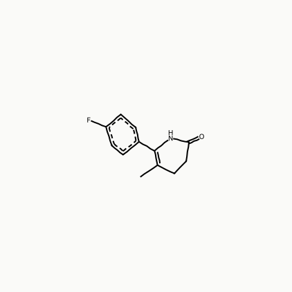 CC1=C(c2ccc(F)cc2)NC(=O)CC1